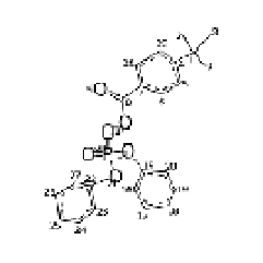 CC(C)(C)c1ccc(C(=O)OOP(=O)(Oc2ccccc2)Oc2ccccc2)cc1